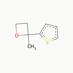 CC1(c2cccs2)CCO1